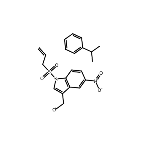 C=CCS(=O)(=O)n1cc(CCl)c2cc([N+](=O)[O-])ccc21.CC(C)c1ccccc1